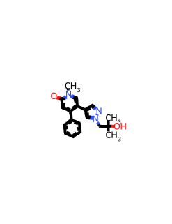 Cn1cc(-c2cnn(CC(C)(C)O)c2)c(-c2ccccc2)cc1=O